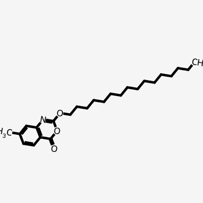 CCCCCCCCCCCCCCCCOc1nc2cc(C)ccc2c(=O)o1